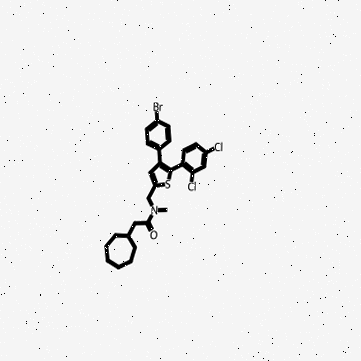 CN(Cc1cc(-c2ccc(Br)cc2)c(-c2ccc(Cl)cc2Cl)s1)C(=O)CC1CCCCCC1